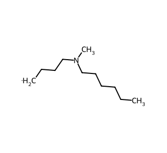 [CH2]CCCN(C)CCCCCC